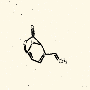 C=CC1=CC=C2OC(=O)C1O2